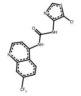 O=C(Nc1ncsc1Cl)Nc1ccnc2cc(C(F)(F)F)ccc12